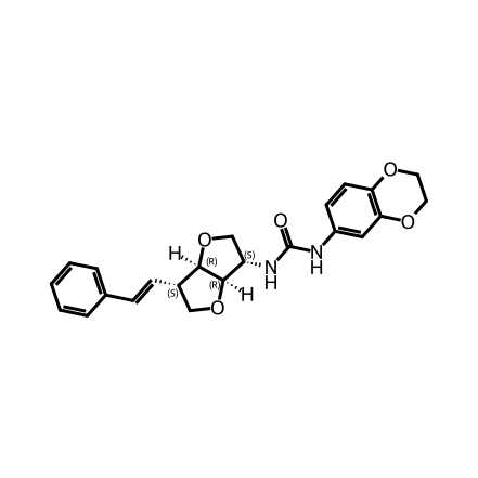 O=C(Nc1ccc2c(c1)OCCO2)N[C@H]1CO[C@H]2[C@@H]1OC[C@@H]2C=Cc1ccccc1